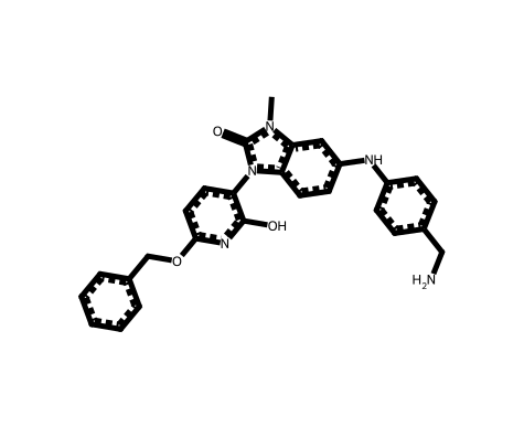 Cn1c(=O)n(-c2ccc(OCc3ccccc3)nc2O)c2ccc(Nc3ccc(CN)cc3)cc21